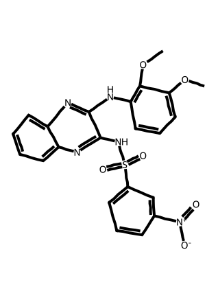 COc1cccc(Nc2nc3ccccc3nc2NS(=O)(=O)c2cccc([N+](=O)[O-])c2)c1OC